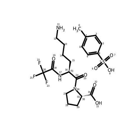 Cc1ccc(S(=O)(=O)O)cc1.NCCCC[C@H](NC(=O)C(F)(F)F)C(=O)N1CCC[C@H]1C(=O)O